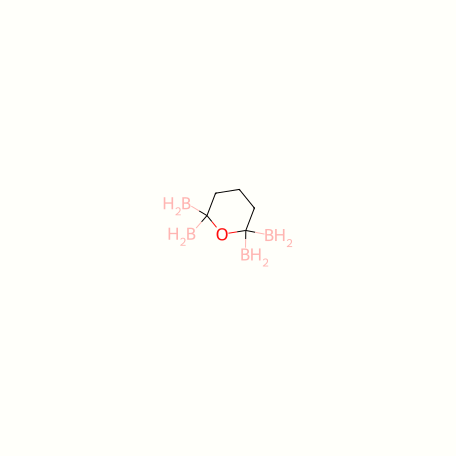 BC1(B)CCCC(B)(B)O1